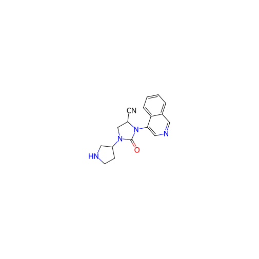 N#CC1CN(C2CCNC2)C(=O)N1c1cncc2ccccc12